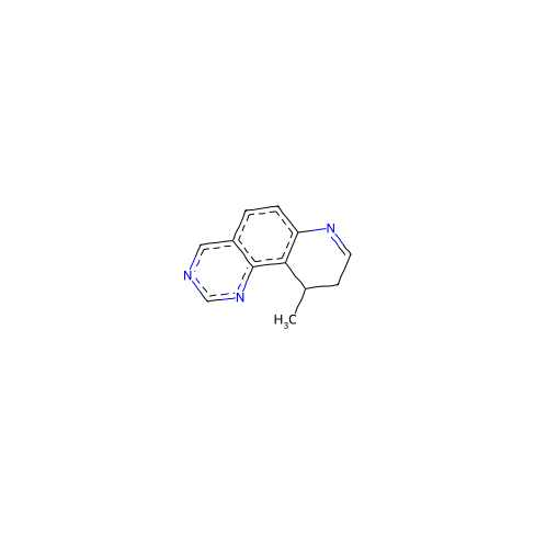 CC1CC=Nc2ccc3cncnc3c21